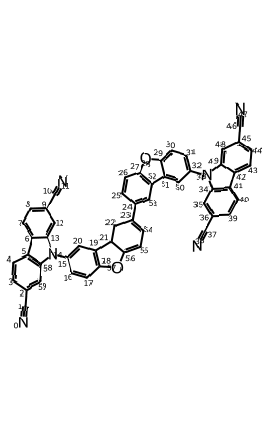 N#Cc1ccc2c3ccc(C#N)cc3n(-c3ccc4c(c3)C3CC(c5ccc6oc7ccc(-n8c9cc(C#N)ccc9c9ccc(C#N)cc98)cc7c6c5)=CC=C3O4)c2c1